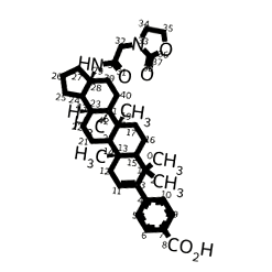 CC1(C)C(c2ccc(C(=O)O)cc2)=CC[C@@]2(C)C1CC[C@]1(C)C2CC[C@@H]2C3CCC[C@]3(NC(=O)CN3CCOC3=O)CC[C@]21C